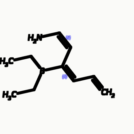 C=C/C=C(\C=C/N)B(CC)CC